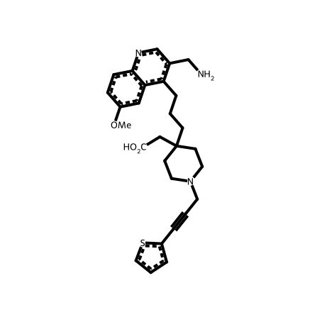 COc1ccc2ncc(CN)c(CCCC3(CC(=O)O)CCN(CC#Cc4cccs4)CC3)c2c1